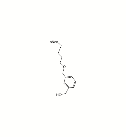 CCCCCCCCCCCCCOCc1cccc(CO)c1